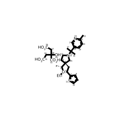 CCO[C@H](C)[C@]1(CCc2cccs2)CCN(C(C)(C)c2ccc(C)nc2)C1.O=C(O)CC(O)(CC(=O)O)C(=O)O